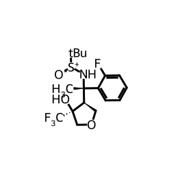 CC(C)(C)[S+]([O-])N[C@](C)(c1ccccc1F)[C@H]1COC[C@]1(O)C(F)(F)F